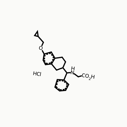 Cl.O=C(O)CNC(c1ccccc1)C1CCc2cc(OCC3CC3)ccc2C1